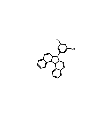 Oc1cc(O)cc(N2C3C=Cc4ccccc4C3C3c4ccccc4C=CC32)c1